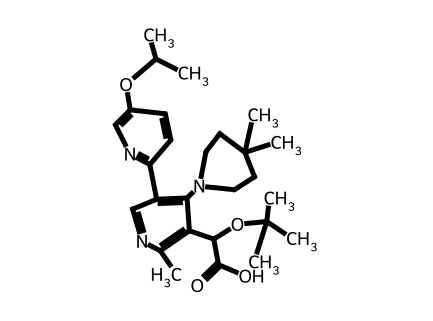 Cc1ncc(-c2ccc(OC(C)C)cn2)c(N2CCC(C)(C)CC2)c1C(OC(C)(C)C)C(=O)O